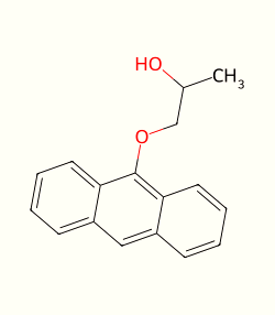 CC(O)COc1c2ccccc2cc2ccccc12